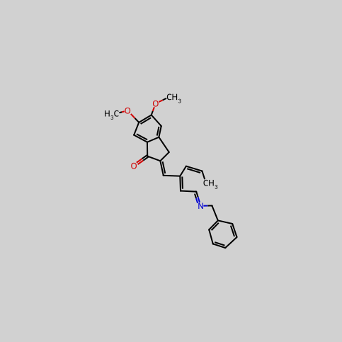 C\C=C/C(=C\C=N\Cc1ccccc1)/C=C1\Cc2cc(OC)c(OC)cc2C1=O